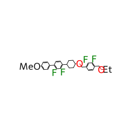 CCOCc1ccc(COC2CCC(c3ccc(-c4ccc(OC)cc4)c(F)c3F)CC2)c(F)c1F